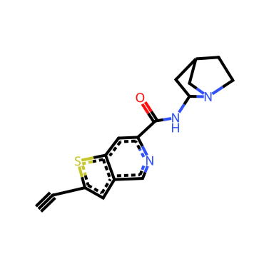 C#Cc1cc2cnc(C(=O)NC3CC4CCN3C4)cc2s1